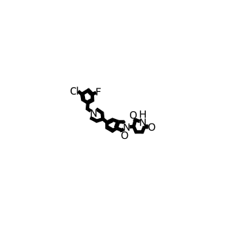 O=C1CCC(N2Cc3cc(C4CCN(Cc5cc(F)cc(Cl)c5)CC4)ccc3C2=O)C(=O)N1